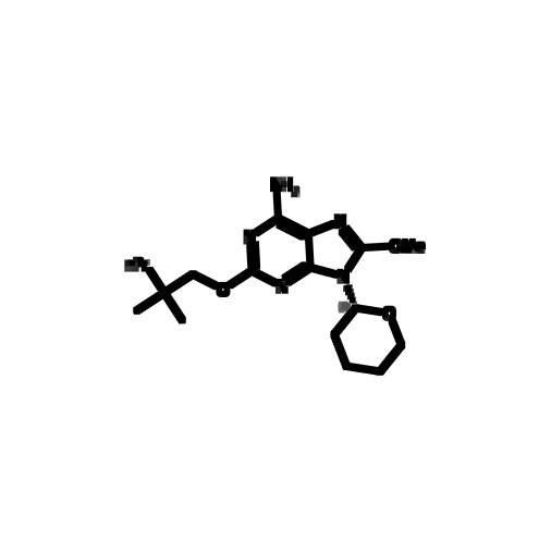 CCCC(C)(C)COc1nc(N)c2nc(OC)n([C@H]3CCCCO3)c2n1